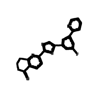 O=C1CCCc2nc(-c3ncc(-c4cc(F)cc(-c5ccccn5)c4)s3)ccc21